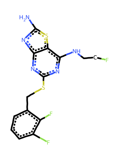 Nc1nc2nc(SCc3cccc(F)c3F)nc(NCCF)c2s1